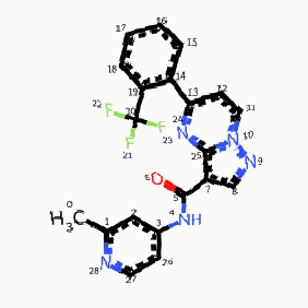 Cc1cc(NC(=O)c2cnn3ccc(-c4ccccc4C(F)(F)F)nc23)ccn1